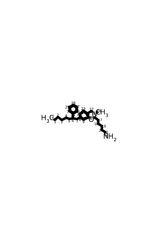 CCCCCCC(Cc1ccc(CN(C)C(=O)CCCCCN)cc1)c1ccccc1